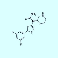 NC(=O)N(c1csc(-c2cc(F)cc(F)c2)c1)[C@@H]1CCCNC1